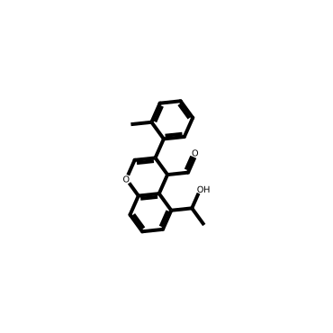 Cc1ccccc1C1=COc2cccc(C(C)O)c2C1C=O